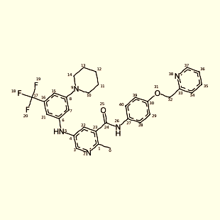 Cc1ncc(Nc2cc(N3CCCCC3)cc(C(F)(F)F)c2)cc1C(=O)Nc1ccc(OCc2ccccn2)cc1